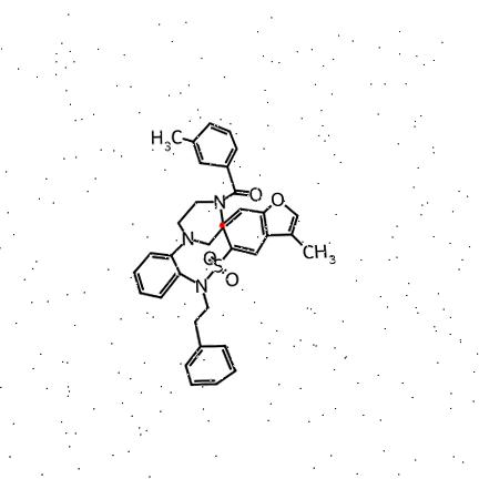 Cc1cccc(C(=O)N2CCN(c3ccccc3N(CCc3ccccc3)S(=O)(=O)c3ccc4occ(C)c4c3)CC2)c1